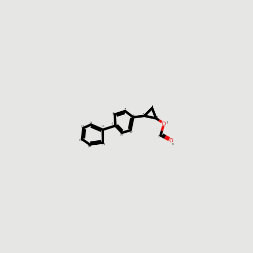 O=COC1CC1c1ccc(-c2ccccc2)cc1